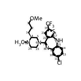 COCCC[C@H]1CN(C2=Nc3cc(Cl)ccc3Nc3sc(C(F)(F)F)cc32)CCN1C